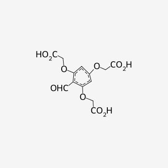 O=Cc1c(OCC(=O)O)cc(OCC(=O)O)cc1OCC(=O)O